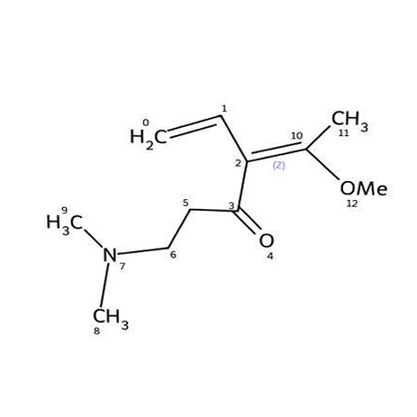 C=C/C(C(=O)CCN(C)C)=C(\C)OC